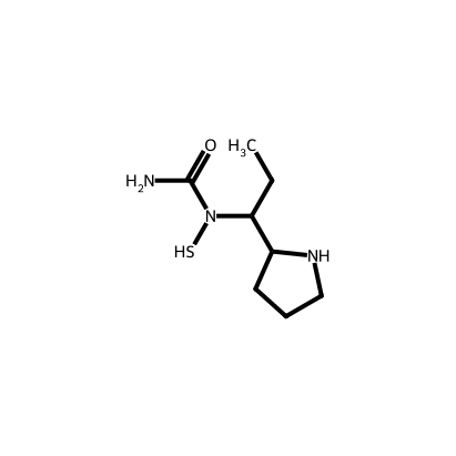 CCC(C1CCCN1)N(S)C(N)=O